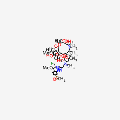 CC[C@H]1OC(=O)[C@H](C)[C@@H](C2C[C@@](C)(OC)[C@@H](O)[C@H](C)O2)[C@H](C)[C@@H](O[C@@H]2O[C@H](C)C[C@H](N(C)CCc3cn([C@H](CF)[C@H](OC)c4ccc([S+](C)[O-])cc4)nn3)[C@H]2O)[C@](C)(O)C[C@@H](C)CN(C)[C@H](C)[C@@H](O)[C@]1(C)O